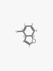 CC1=CC=CC2OC=CC12